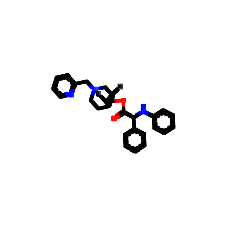 O=C(O[C@H]1C[N+]2(Cc3ccccn3)CCC1CC2)C(Nc1ccccc1)c1ccccc1